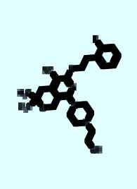 CC1(C)Cc2c(C#N)c(SCCc3ccccc3F)nc(N3CCN(CCO)CC3)c2CO1